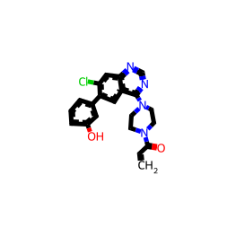 C=CC(=O)N1CCN(c2ncnc3cc(Cl)c(-c4cccc(O)c4)cc23)CC1